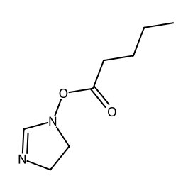 CCCCC(=O)ON1C=NCC1